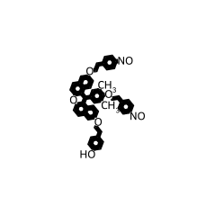 Cc1cc(C2c3c(ccc4cc(OCCc5ccc(O)cc5)ccc34)Oc3ccc4cc(OCCc5ccc(N=O)cc5)ccc4c32)cc(C)c1OCCc1ccc(N=O)cc1